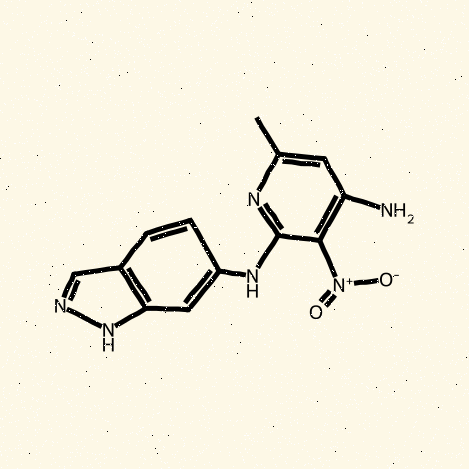 Cc1cc(N)c([N+](=O)[O-])c(Nc2ccc3cn[nH]c3c2)n1